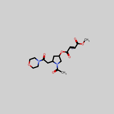 COC(=O)/C=C/C(=O)OC1CC(CC(=O)N2CCOCC2)N(C(C)=O)C1